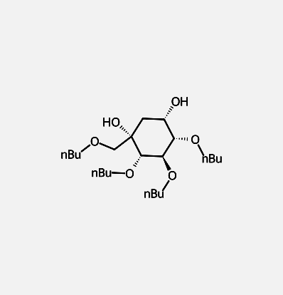 CCCCOC[C@@]1(O)C[C@H](O)[C@H](OCCCC)[C@@H](OCCCC)[C@@H]1OCCCC